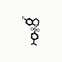 CC(C)c1ccc(S(=O)(=O)N2CCCc3cc(F)ccc32)cc1